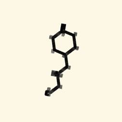 ClCNCC1CCNCC1